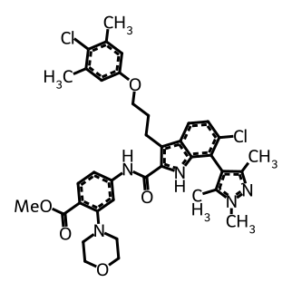 COC(=O)c1ccc(NC(=O)c2[nH]c3c(-c4c(C)nn(C)c4C)c(Cl)ccc3c2CCCOc2cc(C)c(Cl)c(C)c2)cc1N1CCOCC1